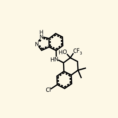 CC1(C)CC(O)(C(F)(F)F)C(Nc2cccc3[nH]ncc23)c2cc(Cl)ccc21